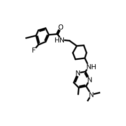 Cc1ccc(C(=O)NCC2CCC(Nc3ncc(C)c(N(C)C)n3)CC2)cc1F